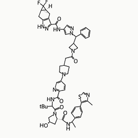 Cc1ncsc1-c1ccc(C(C)NC(=O)[C@@H]2C[C@@H](O)CN2C(=O)C(NC(=O)c2ccc(N3CCC(CC(=O)N4CC(C(c5ccccc5)n5cc(NC(=O)c6n[nH]c7c6C[C@@H]6C(F)(F)[C@]6(C)C7)cn5)C4)CC3)cn2)C(C)(C)C)cc1